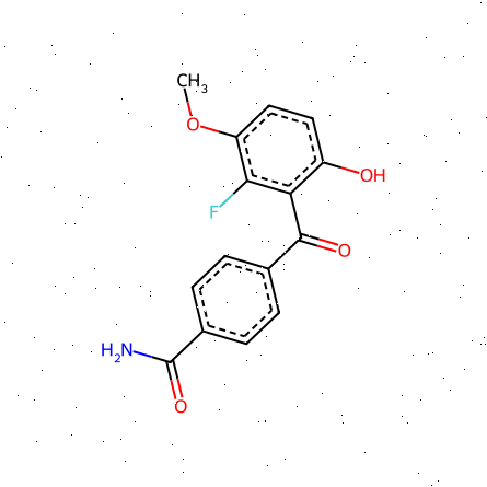 COc1ccc(O)c(C(=O)c2ccc(C(N)=O)cc2)c1F